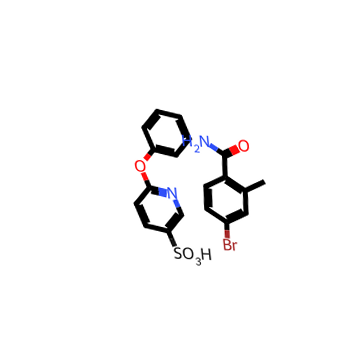 Cc1cc(Br)ccc1C(N)=O.O=S(=O)(O)c1ccc(Oc2ccccc2)nc1